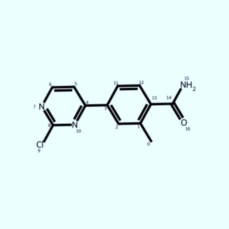 Cc1cc(-c2ccnc(Cl)n2)ccc1C(N)=O